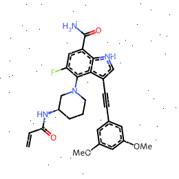 C=CC(=O)N[C@@H]1CCCN(c2c(F)cc(C(N)=O)c3[nH]cc(C#Cc4cc(OC)cc(OC)c4)c23)C1